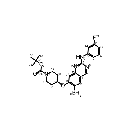 Bc1cc2cnc(Nc3cccc(F)c3)nc2cc1OC1CCN(C(=O)OC(C)(C)C)CC1